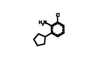 Nc1c(Cl)cccc1C1CCCC1